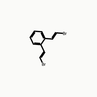 BrC=Cc1ccccc1C=CBr